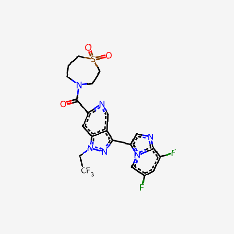 O=C(c1cc2c(cn1)c(-c1cnc3c(F)cc(F)cn13)nn2CC(F)(F)F)N1CCCS(=O)(=O)CC1